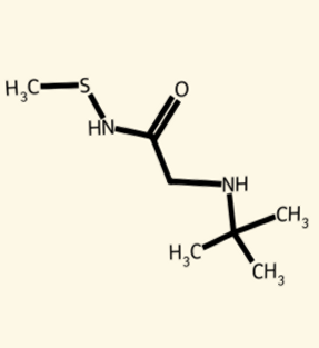 CSNC(=O)CNC(C)(C)C